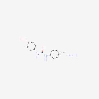 NCCc1ccc(NC(=O)Nc2ccc(O)cc2)cc1